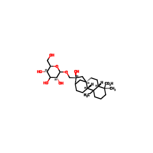 CC1(C(=O)O)CCCC2(C)[C@@H]1CC[C@@]13CC(CC[C@@H]21)[C@](O)(COC1OC(CO)[C@@H](O)C(O)[C@H]1O)C3